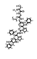 CSCC[C@H](NC(=O)CNC(=O)[C@@H](N)CO)C(=O)N[C@@H](Cc1ccccc1)C(=O)N1CCC[C@H]1C(=O)N[C@@H](Cc1ccccc1)C(=O)N1CCC[C@H]1C(=O)N[C@@H](Cc1ccccc1)C(=O)O